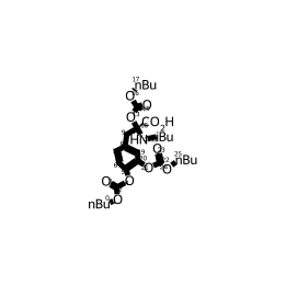 CCCCOC(=O)Oc1ccc(C[C@](NC(C)CC)(OC(=O)OCCCC)C(=O)O)cc1OC(=O)OCCCC